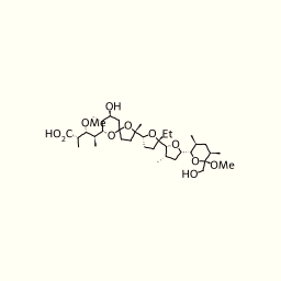 CC[C@@]1([C@@H]2OC([C@H]3O[C@](CO)(OC)[C@H](C)C[C@@H]3C)C[C@@H]2C)CC[C@H]([C@]2(C)CCC3(C[C@H](O)[C@@H](C)[C@@H]([C@@H](C)[C@@H](OC)[C@H](C)C(=O)O)O3)O2)O1